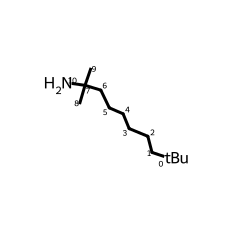 CC(C)(C)CCCCCCC(C)(C)N